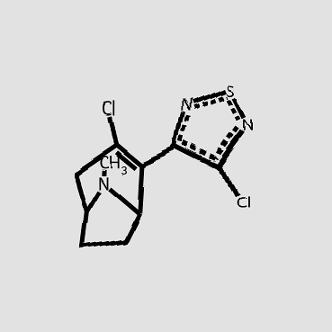 CN1C2CCC1C(c1nsnc1Cl)=C(Cl)C2